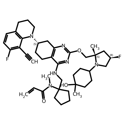 C#Cc1c(F)ccc2c1N([C@H]1CCc3c(nc(OC[C@]4(C)C[C@@H](F)CN4C4CCC(C)(O)CC4)nc3NCC3(N(C)C(=O)C=C)CCCC3)C1)CCC2